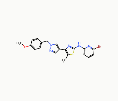 COc1ccc(Cn2cc(-c3nc(Nc4cccc(Br)n4)sc3C)cn2)cc1